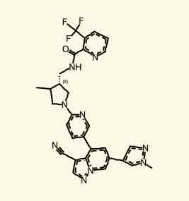 CC1CN(c2ccc(-c3cc(-c4cnn(C)c4)cn4ncc(C#N)c34)cn2)C[C@H]1CNC(=O)c1ncccc1C(F)(F)F